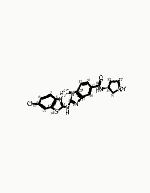 Cn1c(Nc2nc3ccc(Cl)cc3s2)nc2cc(C(=O)N[C@H]3CCNC3)ccc21